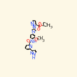 CCOC(=O)c1ccnn1C1CN(c2ccc(NC(=O)c3cccc(-c4cc[nH]n4)n3)c(OC)c2)C1